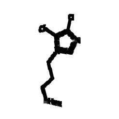 CCCCCCCCCn1cnc(Cl)c1Cl